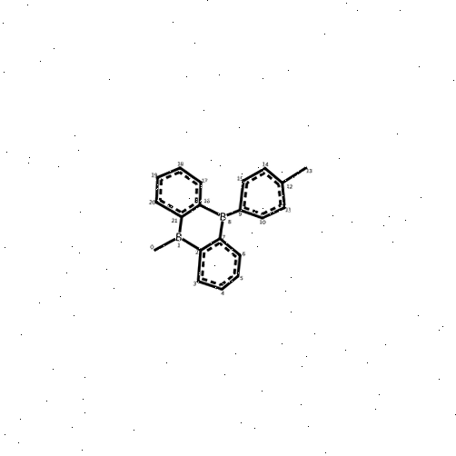 CB1c2ccccc2B(c2ccc(C)cc2)c2ccccc21